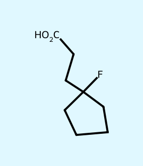 O=C(O)CCC1(F)CCCC1